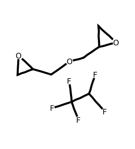 C(OCC1CO1)C1CO1.FC(F)C(F)(F)F